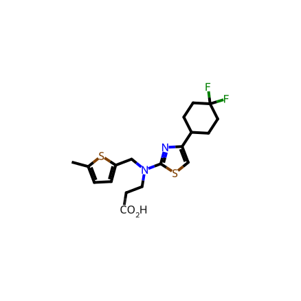 Cc1ccc(CN(CCC(=O)O)c2nc(C3CCC(F)(F)CC3)cs2)s1